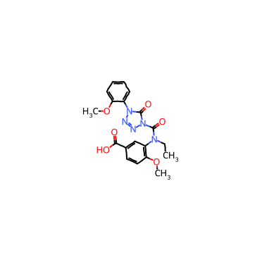 CCN(C(=O)n1nnn(-c2ccccc2OC)c1=O)c1cc(C(=O)O)ccc1OC